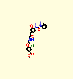 COC(=O)c1ccc(OCCNCC(=O)Cc2ccc(NC(=O)Nc3ccccc3C)c(OC)c2)c(Cl)c1